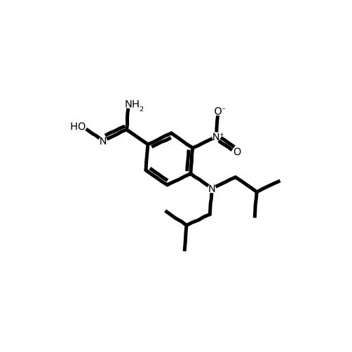 CC(C)CN(CC(C)C)c1ccc(C(N)=NO)cc1[N+](=O)[O-]